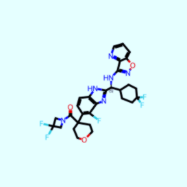 O=C(N1CC(F)(F)C1)C1(c2ccc3[nH]c([C@@H](Nc4noc5cccnc45)C4CCC(F)(F)CC4)nc3c2F)CCOCC1